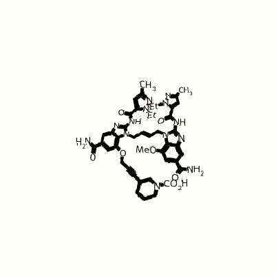 CCn1nc(C)cc1C(=O)Nc1nc2cc(C(N)=O)cc(OC)c2n1C/C=C/Cn1c(NC(=O)c2cc(C)nn2CC)nc2cc(C(N)=O)cc(OCC#CC3CCCN(C(=O)O)C3)c21